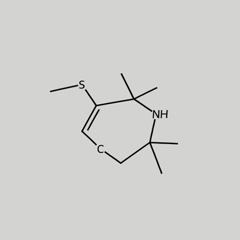 CSC1=CCCC(C)(C)NC1(C)C